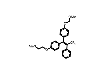 CNCCOc1ccc(C(=C(c2ccccc2)C(F)(F)F)c2ccc(OCOC)cc2)cc1